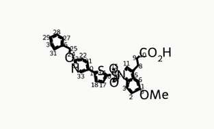 COc1ccc2c(c1)c(CCC(=O)O)cn2S(=O)(=O)c1ccc(-c2ccc(OCc3ccccc3)nc2)s1